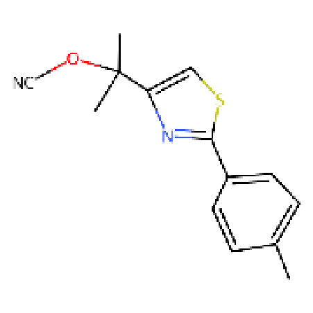 Cc1ccc(-c2nc(C(C)(C)OC#N)cs2)cc1